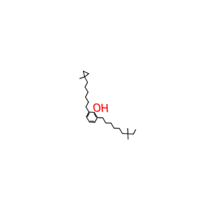 CCC(C)(C)CCCCCCc1cccc(CCCCCCC2(C)CC2)c1O